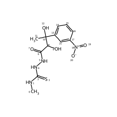 CNC(=S)NNC(=O)C(O)C(C)(O)c1cccc([N+](=O)[O-])c1